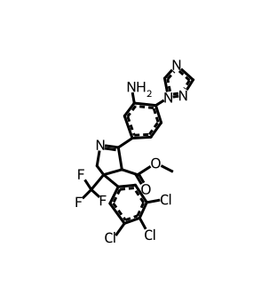 COC(=O)C1C(c2ccc(-n3cncn3)c(N)c2)=NCC1(c1cc(Cl)c(Cl)c(Cl)c1)C(F)(F)F